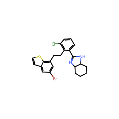 Clc1cccc(C2=NC3CCCCC3N2)c1CCc1cc(Br)cc2ccsc12